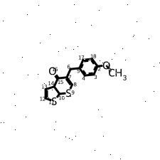 COc1ccc(CC2=CSC3SC=CC3C2=O)cc1